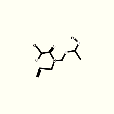 C=CCN(COC(C)OCC)C(=O)C(Cl)Cl